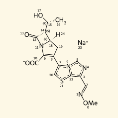 CON=Cc1ncn2c(C3=C(C(=O)[O-])N4C(=O)[C@H]([C@@H](C)O)[C@H]4C3)csc12.[Na+]